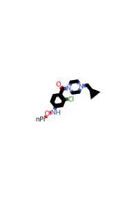 CCCONc1ccc(C(=O)N2CCN(CC3CC3)CC2)c(Cl)c1